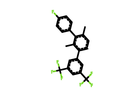 Cc1c[c]c(-c2cc(C(F)(F)F)cc(C(F)(F)F)c2)c(C)c1-c1ccc(F)cc1